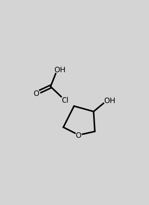 O=C(O)Cl.OC1CCOC1